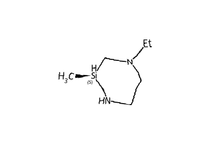 CCN1CCN[Si@@H](C)C1